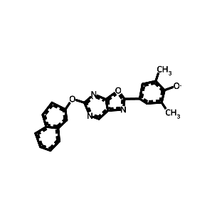 Cc1cc(-c2nc3cnc(Oc4ccc5ccccc5c4)nc3o2)cc(C)c1[O]